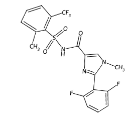 Cc1cccc(C(F)(F)F)c1S(=O)(=O)NC(=O)c1cn(C)c(-c2c(F)cccc2F)n1